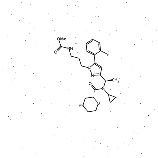 COC(=O)NCCCn1nc([C@@H](C)N(C(=O)[C@H]2CNCCO2)C2CC2)cc1-c1ccccc1F